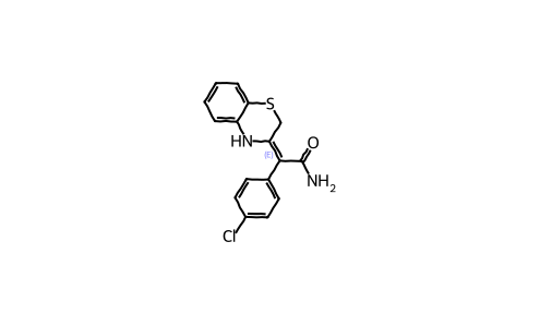 NC(=O)/C(=C1\CSc2ccccc2N1)c1ccc(Cl)cc1